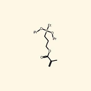 C=C(C)C(=O)OCCC[Si](CC)(OC(C)C)OC(C)C